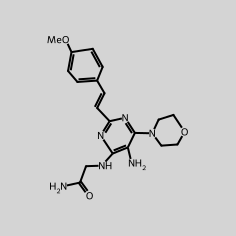 COc1ccc(/C=C/c2nc(NCC(N)=O)c(N)c(N3CCOCC3)n2)cc1